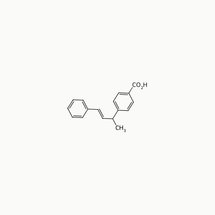 CC(/C=C/c1ccccc1)c1ccc(C(=O)O)cc1